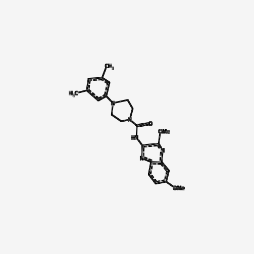 COc1ccc2nc(NC(=O)N3CCN(c4cc(C)cc(C)c4)CC3)c(OC)nc2c1